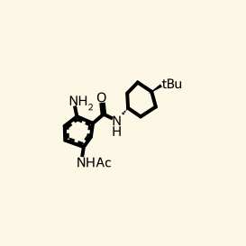 CC(=O)Nc1ccc(N)c(C(=O)N[C@H]2CC[C@H](C(C)(C)C)CC2)c1